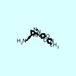 Cc1ccc(Oc2ccc(Nc3ncnc4ccc(C#CCN)cc34)cc2Cl)cn1